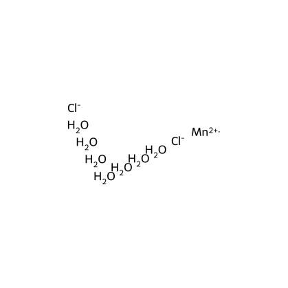 O.O.O.O.O.O.O.[Cl-].[Cl-].[Mn+2]